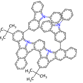 CC(C)(C)c1cc(-c2ccc3c(c2)c2ccccc2n3-c2ccccc2)c2c(c1)c1cc3ccccc3c3c4c5c6cc(C(C)(C)C)cc7c8cc9ccccc9c(-c9ccc%10c(c9)c9ccccc9n%10-c9ccccc9)c8n(c5ccc4n2c13)c76